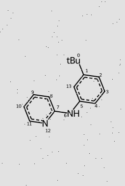 CC(C)(C)c1cccc(Nc2ccccn2)c1